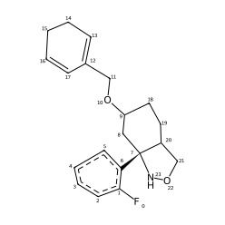 Fc1ccccc1[C@@]12CC(OCC3=CCCC=C3)CCC1CON2